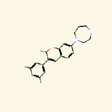 COc1cc(OC)cc(C2=Cc3ccc(N4CCCNCC4)cc3OC2O)c1